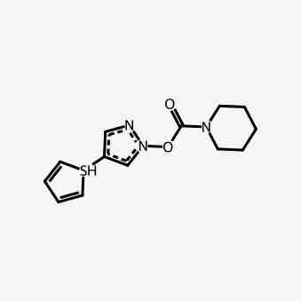 O=C(On1cc([SH]2C=CC=C2)cn1)N1CCCCC1